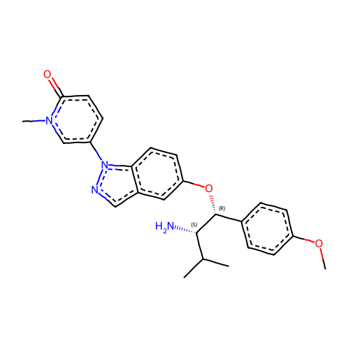 COc1ccc([C@@H](Oc2ccc3c(cnn3-c3ccc(=O)n(C)c3)c2)[C@@H](N)C(C)C)cc1